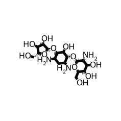 NC1CC(N)[C@@H](O[C@@H]2O[C@H](CO)C(O)[C@@H]2O)C(O)[C@@H]1O[C@H]1OC(CO)[C@@H](O)C(O)[C@H]1N